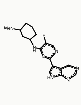 CNC1CCCC(Nc2nc(-c3c[nH]c4ncncc34)ncc2F)C1